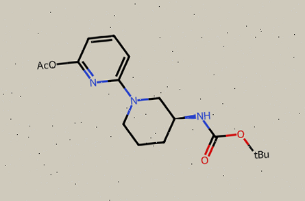 CC(=O)Oc1cccc(N2CCC[C@H](NC(=O)OC(C)(C)C)C2)n1